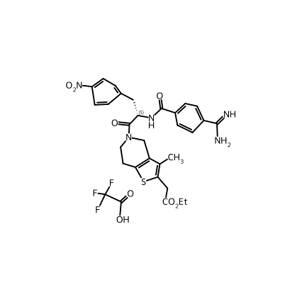 CCOC(=O)Cc1sc2c(c1C)CN(C(=O)[C@H](Cc1ccc([N+](=O)[O-])cc1)NC(=O)c1ccc(C(=N)N)cc1)CC2.O=C(O)C(F)(F)F